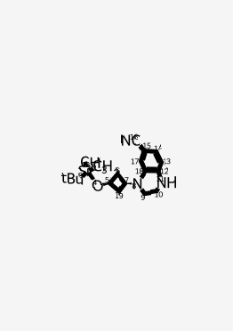 CC(C)(C)[Si](C)(C)O[C@H]1C[C@H](N2CCNc3ccc(C#N)cc32)C1